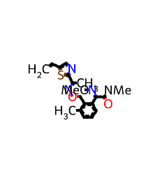 C=Cc1cnc(/C(C)=N/OCc2c(C)cccc2/C(=N\OC)C(=O)NC)s1